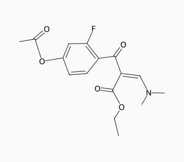 CCOC(=O)C(=CN(C)C)C(=O)c1ccc(OC(C)=O)cc1F